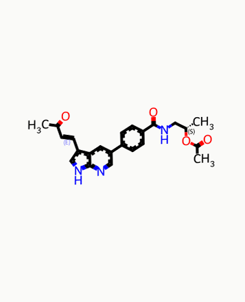 CC(=O)/C=C/c1c[nH]c2ncc(-c3ccc(C(=O)NC[C@H](C)OC(C)=O)cc3)cc12